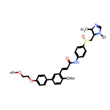 CCCOCCOc1ccc(-c2ccc(OC)c(/C=C/C(=O)Nc3ccc([S@@+]([O-])CC4C(C)N=CN4CC)cc3)c2)cc1